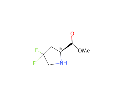 COC(=O)[C@@H]1CC(F)(F)CN1